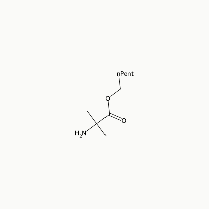 CCCCCCOC(=O)C(C)(C)N